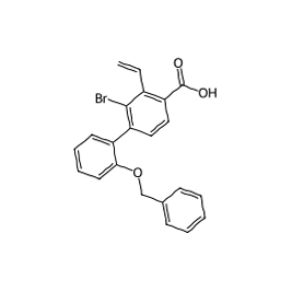 C=Cc1c(C(=O)O)ccc(-c2ccccc2OCc2ccccc2)c1Br